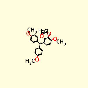 COc1ccc([C](c2ccc(OC)cc2)c2ccc(OC)c(OC)c2OC)cc1